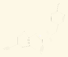 N#C/C(=C\c1ccc(C#N)cc1F)S(=O)(=O)Cc1ccc(Br)cc1